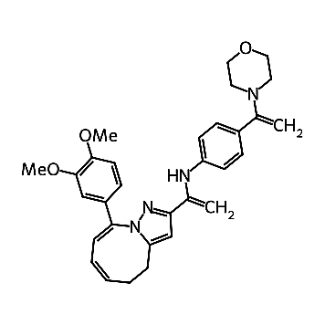 C=C(Nc1ccc(C(=C)N2CCOCC2)cc1)c1cc2n(n1)/C(c1ccc(OC)c(OC)c1)=C\C=C/CC2